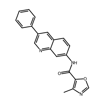 Cc1ncoc1C(=O)Nc1ccc2cc(-c3ccccc3)cnc2c1